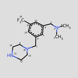 CN(C)Cc1cc(CN2CCNCC2)cc(C(F)(F)F)c1